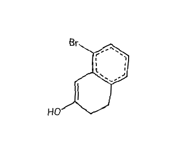 OC1=Cc2c(Br)cccc2CC1